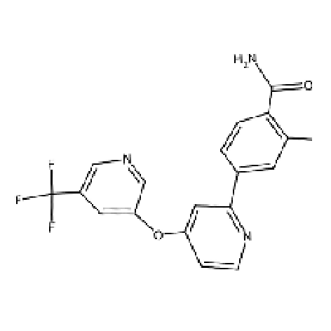 Cc1cc(-c2cc(Oc3cncc(C(F)(F)F)c3)ccn2)ccc1C(N)=O